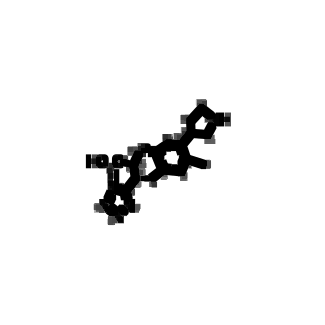 Cc1cc(C[C@H](c2nnn[nH]2)[C@@H](C(=O)O)C(C)C)ccc1C1CCNC1